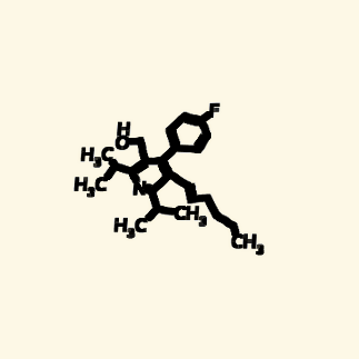 CCCCC=Cc1c(C(C)C)nc(C(C)C)c(CO)c1-c1ccc(F)cc1